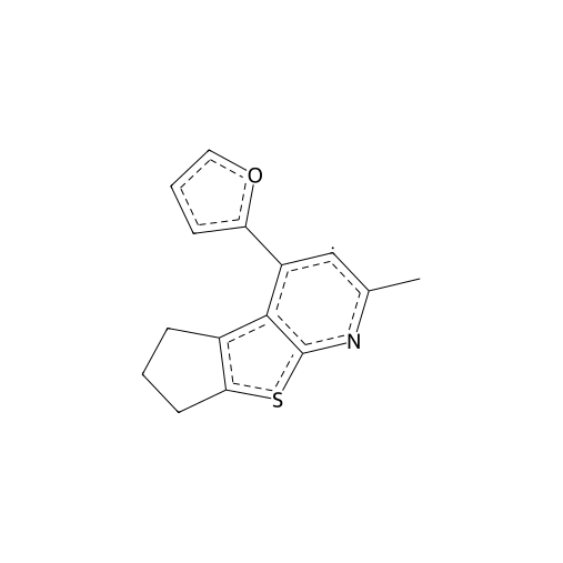 Cc1[c]c(-c2ccco2)c2c3c(sc2n1)CCC3